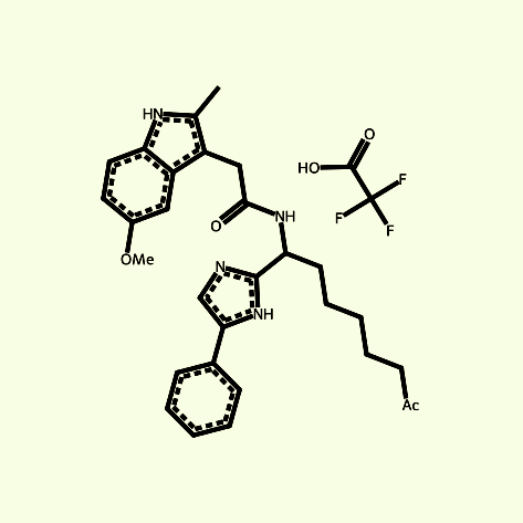 COc1ccc2[nH]c(C)c(CC(=O)NC(CCCCCC(C)=O)c3ncc(-c4ccccc4)[nH]3)c2c1.O=C(O)C(F)(F)F